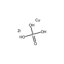 O=P(O)(O)O.[Cu].[Zr]